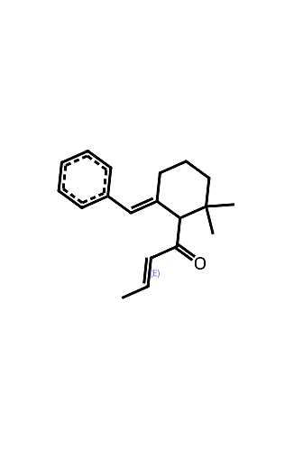 C/C=C/C(=O)C1C(=Cc2ccccc2)CCCC1(C)C